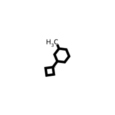 CC1CCCC([C]2CCC2)C1